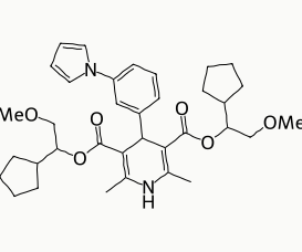 COCC(OC(=O)C1=C(C)NC(C)=C(C(=O)OC(COC)C2CCCC2)C1c1cccc(-n2cccc2)c1)C1CCCC1